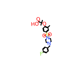 Cc1cc(S(=O)(=O)N2CCN(Cc3ccc(F)cc3)CC2)ccc1OC(C)(C)C(=O)O